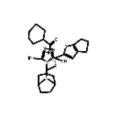 Cc1nnc(C(C)C)n1C1CC2CCC(C1)N2CC[C@H](NC(=O)C1CCCCC1)c1cc2c(s1)CCC2